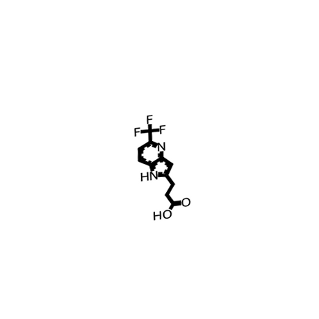 O=C(O)CCc1cc2nc(C(F)(F)F)ccc2[nH]1